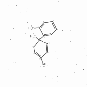 Cc1ccccc1C1(C)C=CC(N)=CC1